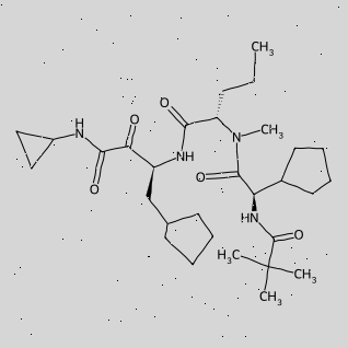 CCC[C@@H](C(=O)N[C@@H](CC1CCCC1)C(=O)C(=O)NC1CC1)N(C)C(=O)[C@H](NC(=O)C(C)(C)C)C1CCCC1